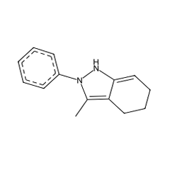 CC1=C2CCCC=C2NN1c1ccccc1